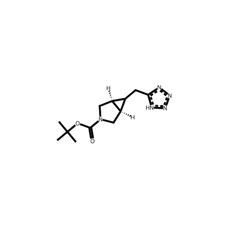 CC(C)(C)OC(=O)N1C[C@@H]2C(Cc3nnn[nH]3)[C@@H]2C1